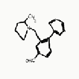 CC1CCCCN1Cc1cc(C=O)ccc1-c1ccccc1